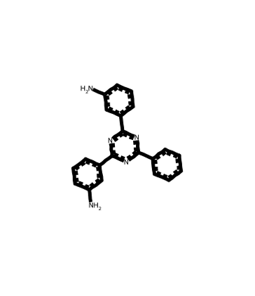 Nc1cccc(-c2nc(-c3ccccc3)nc(-c3cccc(N)c3)n2)c1